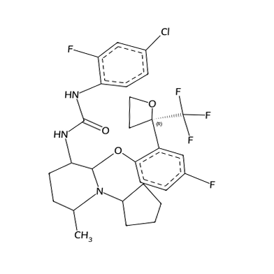 CC1CCC(NC(=O)Nc2ccc(Cl)cc2F)C(Oc2ccc(F)cc2[C@@]2(C(F)(F)F)CCO2)N1C1CCCC1